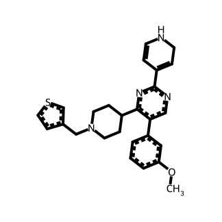 COc1cccc(-c2cnc(C3=CCNC=C3)nc2C2CCN(Cc3ccsc3)CC2)c1